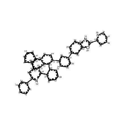 c1ccc(-c2cc(-c3ccccc3)nc(-c3ccccc3-c3c(-c4cccc(-c5ccc6nc(-c7ccccn7)oc6c5)c4)ccc4ccccc34)n2)cc1